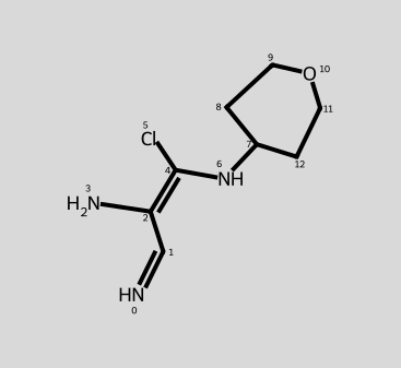 N=C/C(N)=C(/Cl)NC1CCOCC1